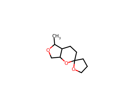 CC1OCC2OC3(CCCO3)CCC12